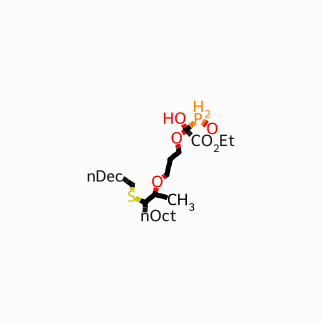 CCCCCCCCCCCSC(CCCCCCCC)C(C)OCCCOC(O)([PH2]=O)C(=O)OCC